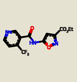 CCOC(=O)c1cc(NC(=O)c2cnccc2C(F)(F)F)on1